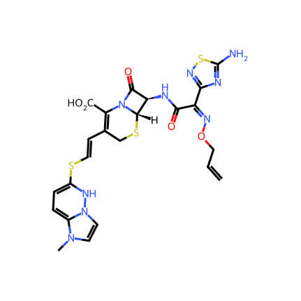 C=CCO/N=C(\C(=O)N[C@@H]1C(=O)N2C(C(=O)O)=C(/C=C/SC3=CC=C4N(C)C=CN4N3)CS[C@@H]12)c1nsc(N)n1